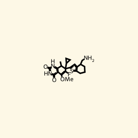 COC1=C(F)C(c2cc3c(s2)CCCC3CN)(C2CC2)C(C)c2[nH]c(=O)[nH]c(=O)c21